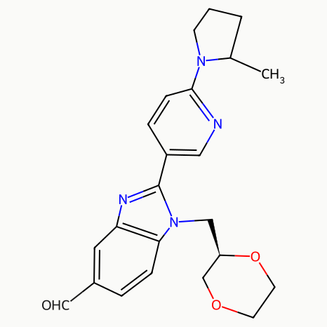 CC1CCCN1c1ccc(-c2nc3cc(C=O)ccc3n2C[C@@H]2COCCO2)cn1